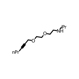 CCCC#CCOCCOCCNC(C)C